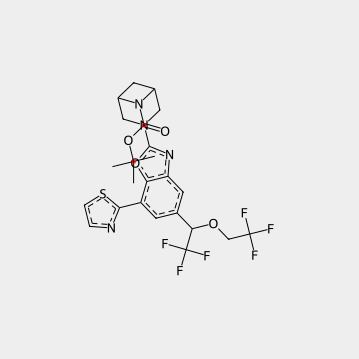 CC(C)(C)OC(=O)N1C2CC1CN(c1nc3cc(C(OCC(F)(F)F)C(F)(F)F)cc(-c4nccs4)c3o1)C2